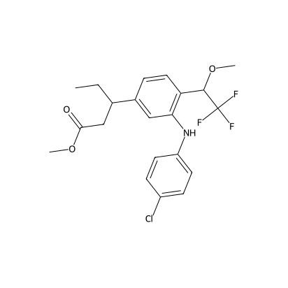 CCC(CC(=O)OC)c1ccc(C(OC)C(F)(F)F)c(Nc2ccc(Cl)cc2)c1